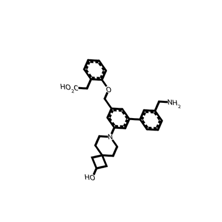 NCc1cccc(-c2cc(COc3ccccc3CC(=O)O)cc(N3CCC4(CC3)CC(O)C4)c2)c1